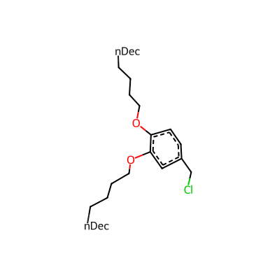 CCCCCCCCCCCCCCOc1ccc(CCl)cc1OCCCCCCCCCCCCCC